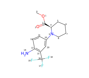 COC(=O)[C@H]1CCCCN1c1ccc(N)c(C(F)(F)F)c1